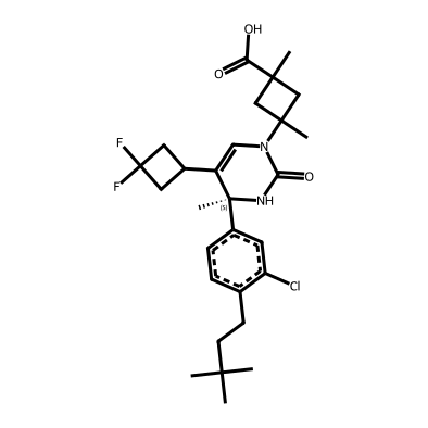 CC(C)(C)CCc1ccc([C@]2(C)NC(=O)N(C3(C)CC(C)(C(=O)O)C3)C=C2C2CC(F)(F)C2)cc1Cl